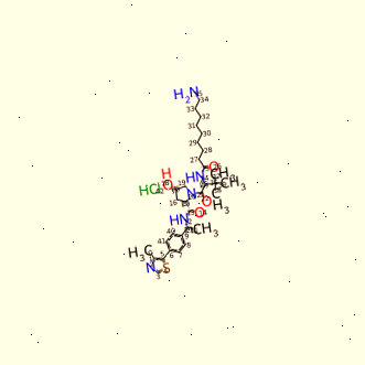 Cc1ncsc1-c1ccc([C@H](C)NC(=O)[C@@H]2C[C@@H](O)CN2C(=O)[C@@H](NC(=O)CCCCCCCCN)C(C)(C)C)cc1.Cl